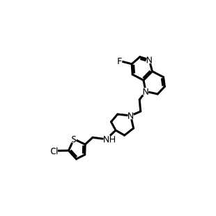 Fc1cnc2c(c1)N(CCN1CCC(NCc3ccc(Cl)s3)CC1)CC=C2